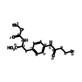 CC(C)(C)OC(=O)N[C@@H](Cc1ccc(NC(=O)CCBr)cc1)C(=O)O